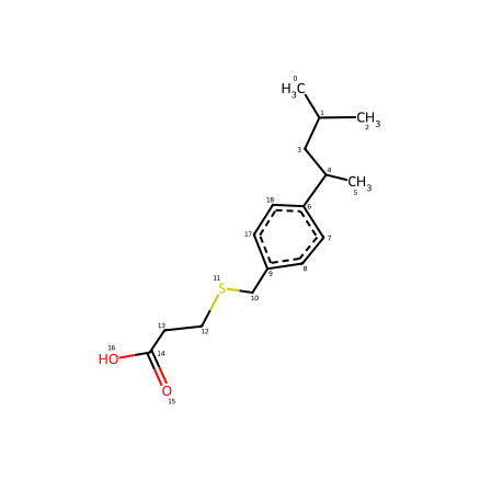 CC(C)CC(C)c1ccc(CSCCC(=O)O)cc1